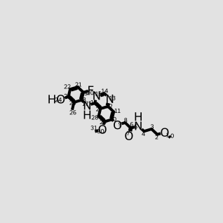 COCCCNC(=O)COc1cc2ncnc(Nc3c(F)ccc(O)c3C)c2cc1OC